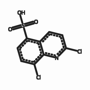 O=S(=O)(O)c1ccc(Cl)c2nc(Cl)ccc12